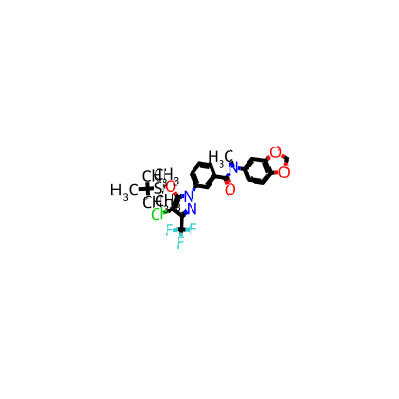 CN(C(=O)c1cccc(-n2nc(C(F)(F)F)c(Cl)c2O[Si](C)(C)C(C)(C)C)c1)c1ccc2c(c1)OCO2